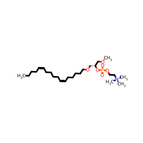 CCCC/C=C\CCCC/C=C\CCCCCOC[C@H](COC)OP(=O)([O-])OCC[N+](C)(C)C